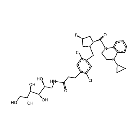 O=C(CCc1cc(Cl)c(CN2C[C@@H](F)C[C@H]2C(=O)N2CCN(C3CC3)c3ccccc32)cc1Cl)NC[C@H](O)[C@@H](O)[C@H](O)[C@H](O)CO